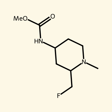 COC(=O)NC1CCN(C)C(CF)C1